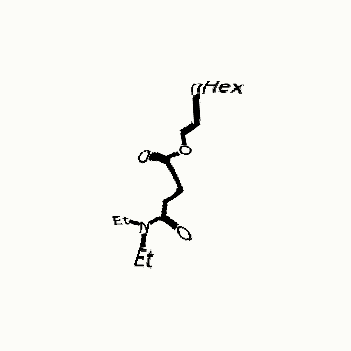 CCCCCCC=COC(=O)CCC(=O)N(CC)CC